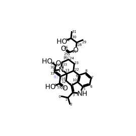 CC(C)c1[nH]c2cccc3c2c1CC1(/C(=C\C(=O)O)C(=O)O)C3C[C@@H](C(=O)OC(C)C(C)O)CN1C